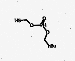 CCCCCO[PH](=O)OCS